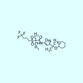 CC(C)(OC1CCCCO1)c1cc(NC(=O)C(C)(C)S(=O)(=O)CCCC(F)(F)F)on1